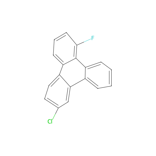 Fc1cccc2c3ccc(Cl)cc3c3ccccc3c12